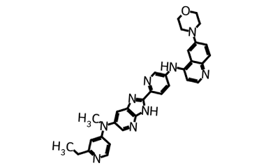 CCc1cc(N(C)c2cnc3[nH]c(-c4ccc(Nc5ccnc6ccc(N7CCOCC7)cc56)cn4)nc3c2)ccn1